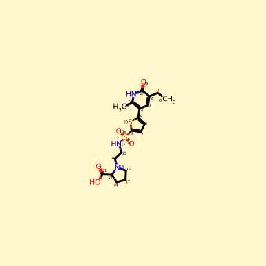 CCc1cc(-c2ccc(S(=O)(=O)NCCN3CCCC3C(=O)O)s2)c(C)[nH]c1=O